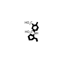 C=Cc1ccccc1NC1(C(=O)O)C=CC(C)=C(C(=O)O)C1